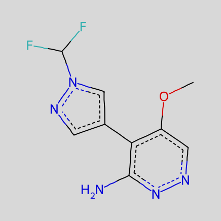 COc1cnnc(N)c1-c1cnn(C(F)F)c1